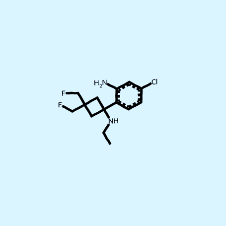 CCNC1(c2ccc(Cl)cc2N)CC(CF)(CF)C1